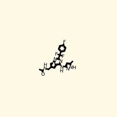 CC(=O)NCc1cc2c(Nc3cc(C)[nH]n3)nc(C(F)(F)c3ccc(F)cc3)nn2c1